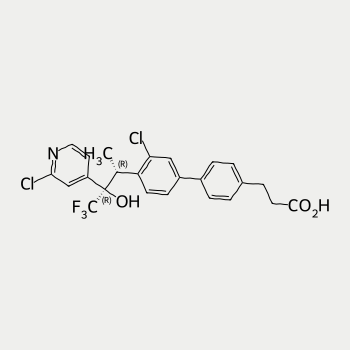 C[C@H](c1ccc(-c2ccc(CCC(=O)O)cc2)cc1Cl)[C@@](O)(c1ccnc(Cl)c1)C(F)(F)F